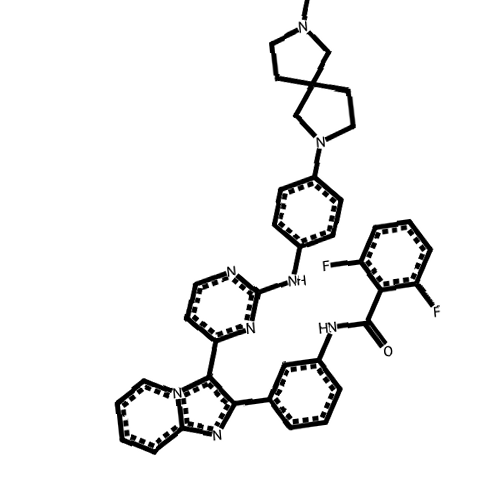 CCN1CCC2(CCN(c3ccc(Nc4nccc(-c5c(-c6cccc(NC(=O)c7c(F)cccc7F)c6)nc6ccccn56)n4)cc3)C2)C1